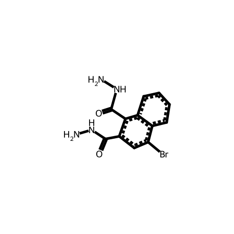 NNC(=O)c1cc(Br)c2ccccc2c1C(=O)NN